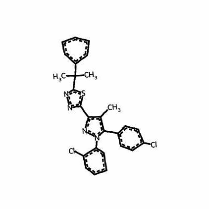 Cc1c(-c2nnc(C(C)(C)c3ccccc3)s2)nn(-c2ccccc2Cl)c1-c1ccc(Cl)cc1